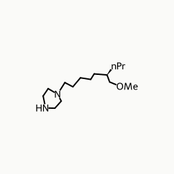 CCC[C@H](CCCCCN1CCNCC1)COC